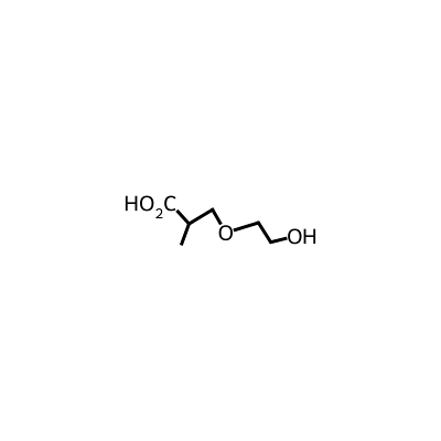 CC(COCCO)C(=O)O